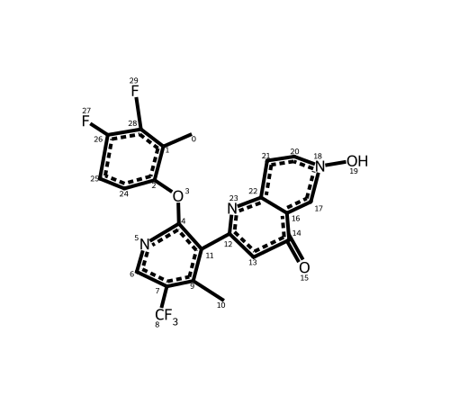 Cc1c(Oc2ncc(C(F)(F)F)c(C)c2-c2cc(=O)c3cn(O)ccc-3n2)ccc(F)c1F